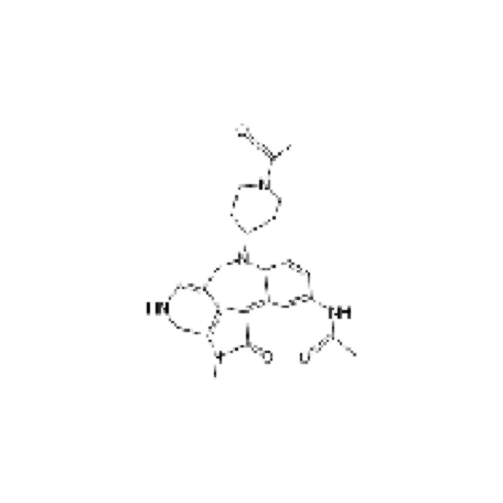 CC(=O)NC1=CC2=C3C(=O)N(C)C4=C3C(=CNC4)CN(C3CCN(C(C)=O)CC3)C2C=C1